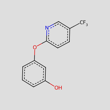 Oc1cccc(Oc2ccc(C(F)(F)F)cn2)c1